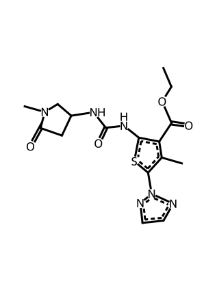 CCOC(=O)c1c(NC(=O)NC2CC(=O)N(C)C2)sc(-n2nccn2)c1C